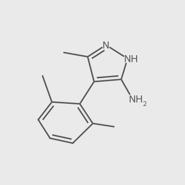 Cc1cccc(C)c1-c1c(C)n[nH]c1N